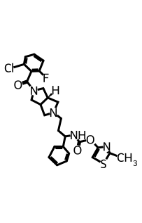 Cc1nc(OC(=O)NC(CCN2CC3CN(C(=O)c4c(F)cccc4Cl)C[C@@H]3C2)c2ccccc2)cs1